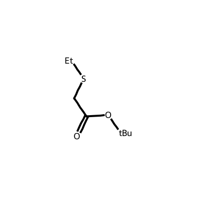 CCSCC(=O)OC(C)(C)C